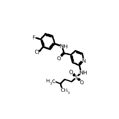 CC(C)CCS(=O)(=O)Nc1cc(C(=O)Nc2ccc(F)c(Cl)c2)ccn1